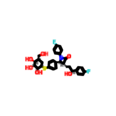 O=C1[C@H](CC[C@H](O)c2ccc(F)cc2)[C@@H](c2ccc(S[C@@H]3C[C@H](CO)[C@@H](O)[C@@H](O)[C@@H]3O)cc2)N1c1ccc(F)cc1